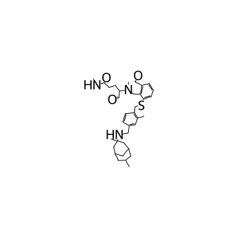 CNC(=O)CCC(C=O)N(C)Cc1c(C=O)cccc1SCc1ccc(CNC2(C)CC3CC(C)CC(C3)C2)cc1C